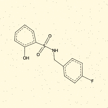 O=S(=O)(NCc1ccc(F)cc1)c1ccccc1O